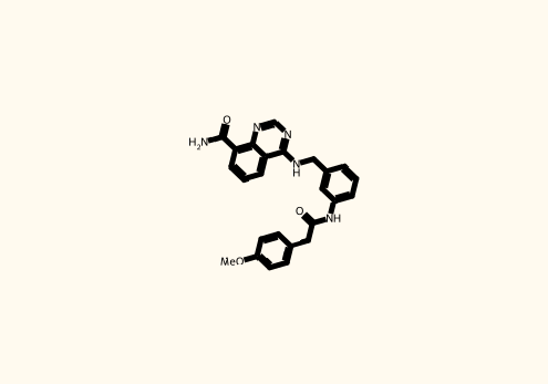 COc1ccc(CC(=O)Nc2cccc(CNc3ncnc4c(C(N)=O)cccc34)c2)cc1